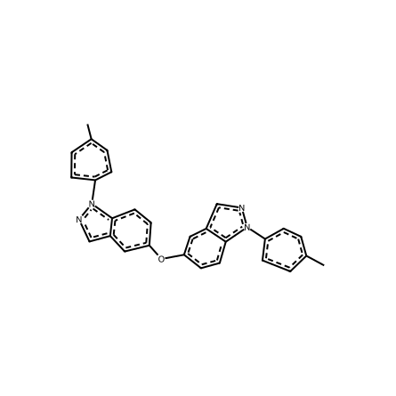 Cc1ccc(-n2ncc3cc(Oc4ccc5c(cnn5-c5ccc(C)cc5)c4)ccc32)cc1